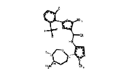 Cn1ncc(NC(O)c2nc(-c3c(Cl)cccc3C(F)(F)F)sc2N)c1[C@@H]1CC[C@@H](N)[C@H](F)CO1